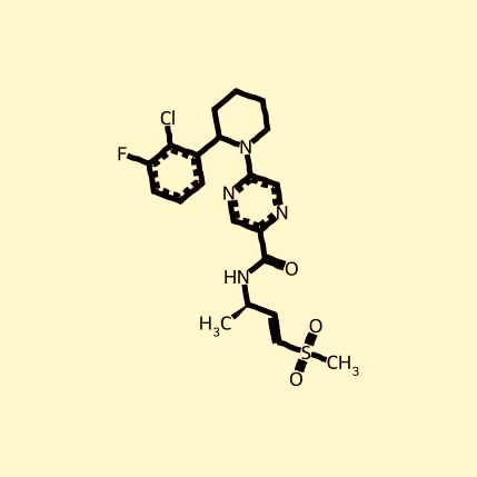 C[C@H](/C=C/S(C)(=O)=O)NC(=O)c1cnc(N2CCCCC2c2cccc(F)c2Cl)cn1